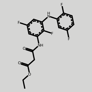 CCOC(=O)CC(=O)Nc1cc(F)cc(Nc2cc(F)ccc2F)c1F